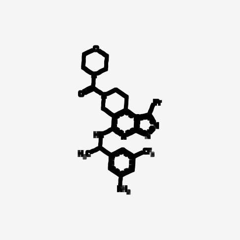 CC(C)c1nnc2nc(NC(C)c3cc(N)cc(C(F)(F)F)c3)c3c(n12)CCN(C(=O)N1CCOCC1)C3